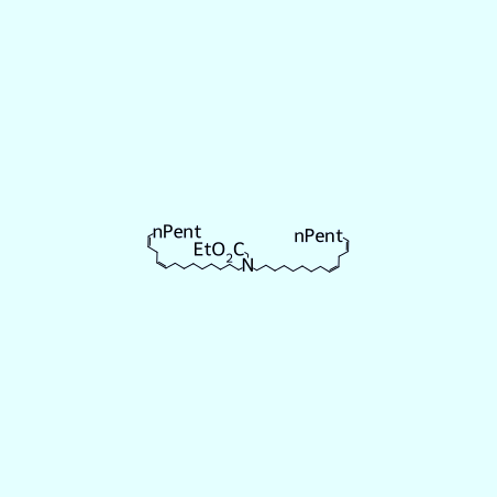 CCCCC/C=C\C/C=C\CCCCCCCCN(CCCCCCCC/C=C\C/C=C\CCCCC)CC(=O)OCC